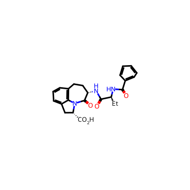 CC[C@H](NC(=O)c1ccccc1)C(=O)N[C@H]1CCc2cccc3c2N(C1=O)[C@H](C(=O)O)C3